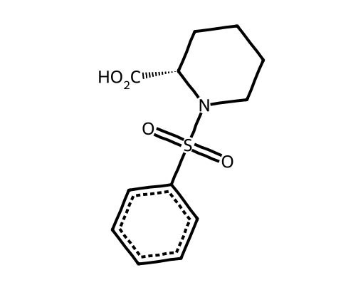 O=C(O)[C@@H]1CCCCN1S(=O)(=O)c1ccccc1